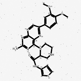 COc1ccc(-c2cnc3nc(N)nc(N4CCNCC4C(=O)Nc4ccsc4)c3n2)cc1OC